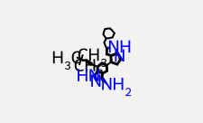 CC(C)(C)C#Cc1cc(-c2ccnc3[nH]c(CC4CCCCC4)cc23)cc2c(N)n[nH]c12